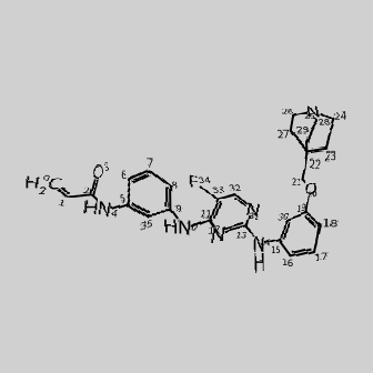 C=CC(=O)Nc1cccc(Nc2nc(Nc3cccc(OCC45CCN(CC4)CC5)c3)ncc2F)c1